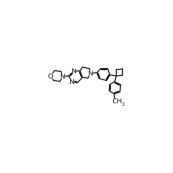 Cc1ccc(C2(c3ccc(N4CCc5nc(N6CCOCC6)ncc5C4)cc3)CCC2)cc1